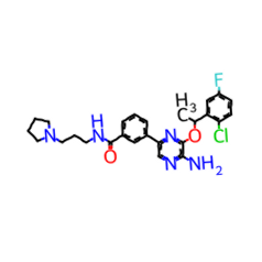 CC(Oc1nc(-c2cccc(C(=O)NCCCN3CCCC3)c2)cnc1N)c1cc(F)ccc1Cl